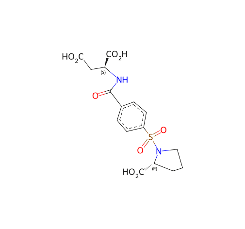 O=C(O)C[C@H](NC(=O)c1ccc(S(=O)(=O)N2CCC[C@@H]2C(=O)O)cc1)C(=O)O